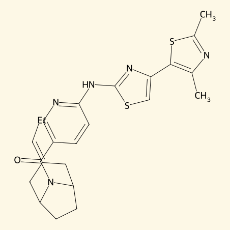 CCC=C1CC2CCC(C1)N2C(=O)c1ccc(Nc2nc(-c3sc(C)nc3C)cs2)nc1